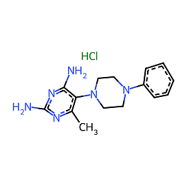 Cc1nc(N)nc(N)c1N1CCN(c2ccccc2)CC1.Cl